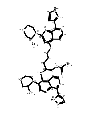 CC1COCCN1c1cnc2c(-c3ccn[nH]3)nccc2c1OC(CCCOc1cc(N2CCOC[C@H]2C)nc2c(-c3cc[nH]n3)nccc12)COC(N)=O